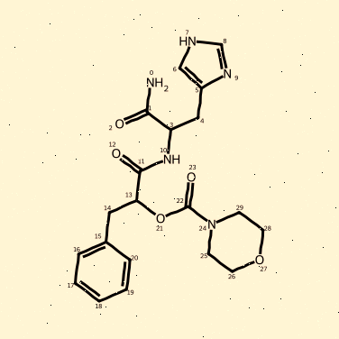 NC(=O)C(Cc1c[nH]cn1)NC(=O)C(Cc1ccccc1)OC(=O)N1CCOCC1